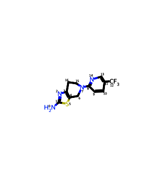 Nc1nc2c(s1)CN(c1ccc(C(F)(F)F)cn1)CC2